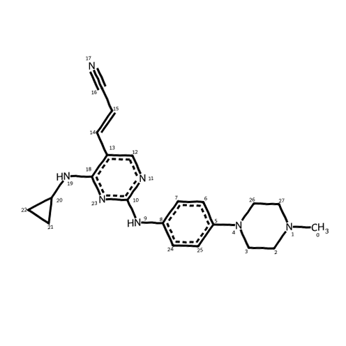 CN1CCN(c2ccc(Nc3ncc(C=CC#N)c(NC4CC4)n3)cc2)CC1